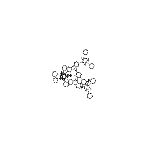 N#Cc1c(-n2c3cc(-c4nc(-c5ccccc5)nc(-c5ccccc5)n4)ccc3c3ccc(-c4nc(-c5ccccc5)nc(-c5ccccc5)n4)cc32)ccc(-c2cc(F)cc(F)c2)c1-n1c2cc(-c3nc(-c4ccccc4)nc(-c4ccccc4)n3)ccc2c2ccc(-c3nc(-c4ccccc4)nc(-c4ccccc4)n3)cc21